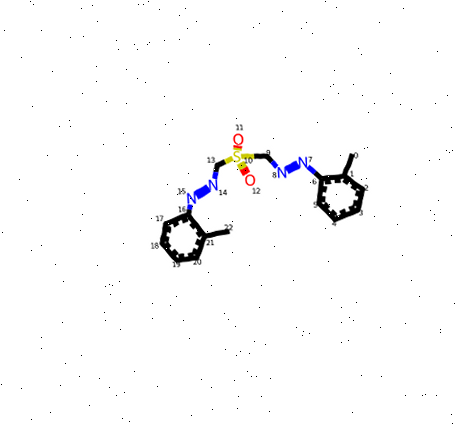 Cc1ccccc1N=NCS(=O)(=O)CN=Nc1ccccc1C